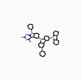 Cc1nc(C)c2c3cc(-n4c5ccc(-c6ccccc6)cc5c5cc(-n6c7ccccc7c7ccccc76)ccc54)ccc3n(-c3ccccc3)c2n1